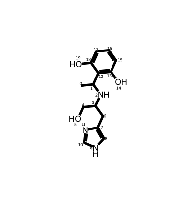 CC(NC(CO)Cc1c[nH]cn1)c1c(O)cccc1O